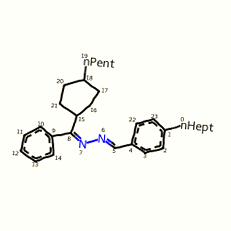 CCCCCCCc1ccc(C=NN=C(c2ccccc2)C2CCC(CCCCC)CC2)cc1